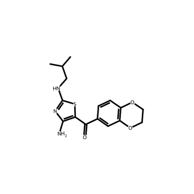 CC(C)CNc1nc(N)c(C(=O)c2ccc3c(c2)OCCO3)s1